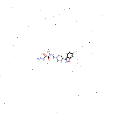 CCN(CCN1CCC(c2noc3cc(F)ccc23)CC1)C(=O)C(O)CN